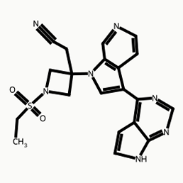 CCS(=O)(=O)N1CC(CC#N)(n2cc(-c3ncnc4[nH]ccc34)c3ccncc32)C1